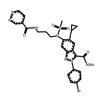 CNC(=O)c1c2cc(C3CC3)c(N(CCCNC(=O)c3ccnnc3)S(C)(=O)=O)cc2nn1-c1ccc(Br)cc1